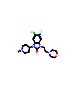 CN1CCC(n2c(=O)n(CCN3CCOCC3)c3cc(F)c(Cl)cc32)CC1